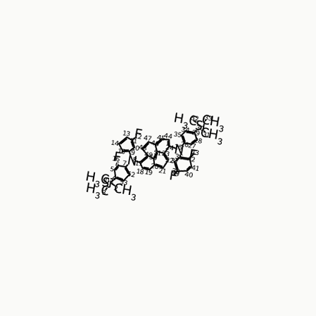 C[Si](C)(C)c1ccc(N(c2cc(F)ccc2F)c2ccc3ccc4c(N(c5ccc([Si](C)(C)C)cc5)c5cc(F)ccc5F)ccc5ccc2c3c54)cc1